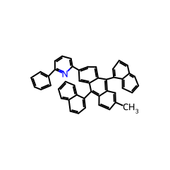 Cc1ccc2c(-c3cccc4ccccc34)c3cc(-c4cccc(-c5ccccc5)n4)ccc3c(-c3cccc4ccccc34)c2c1